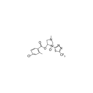 Cc1cc(Cl)ccc1C(=O)OC1CN(C)C[N+]1([O-])c1nnc(C(F)(F)F)s1